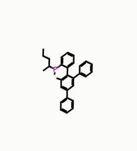 CCCC(C)P(C)c1ccccc1-c1c(C)cc(-c2ccccc2)cc1-c1ccccc1